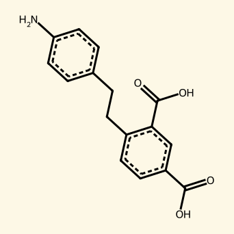 Nc1ccc(CCc2ccc(C(=O)O)cc2C(=O)O)cc1